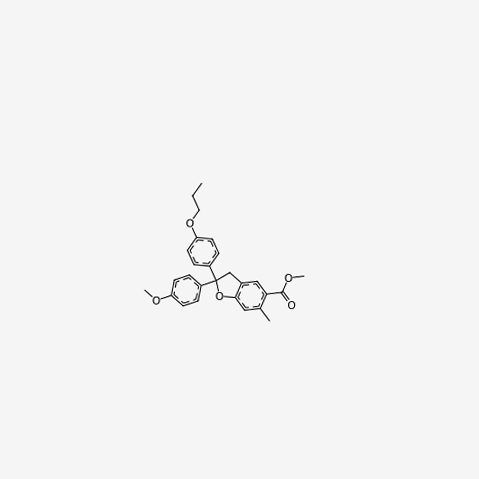 CCCOc1ccc(C2(c3ccc(OC)cc3)Cc3cc(C(=O)OC)c(C)cc3O2)cc1